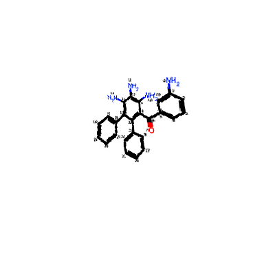 Nc1cccc(C(=O)c2c(N)c(N)c(N)c(-c3ccccc3)c2-c2ccccc2)c1